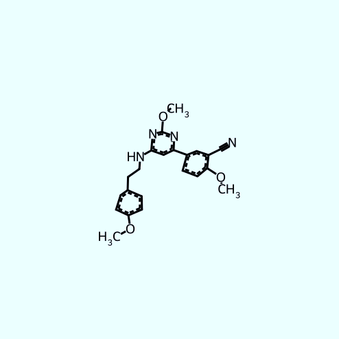 COc1ccc(CCNc2cc(-c3ccc(OC)c(C#N)c3)nc(OC)n2)cc1